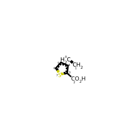 C=C.O=C(O)c1cccs1